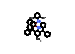 CC(C)c1cccc(C(C)C)c1NC1c2cccc3cccc(c23)C1Nc1c(C(c2ccccc2)c2ccccc2)cc([N+](=O)[O-])cc1C(c1ccccc1)c1ccccc1